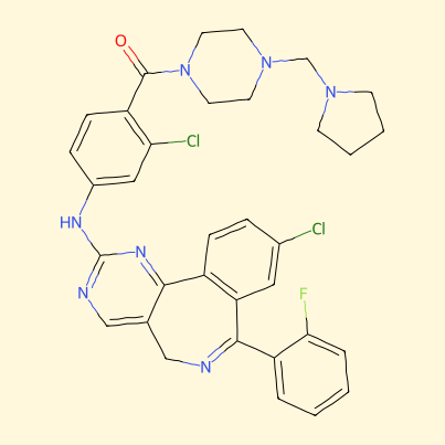 O=C(c1ccc(Nc2ncc3c(n2)-c2ccc(Cl)cc2C(c2ccccc2F)=NC3)cc1Cl)N1CCN(CN2CCCC2)CC1